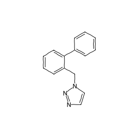 c1ccc(-c2ccccc2Cn2ccnn2)cc1